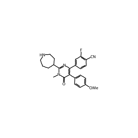 COc1ccc(-c2c(-c3ccc(C#N)c(F)c3)nc(C3CCCNCC3)n(C)c2=O)cc1